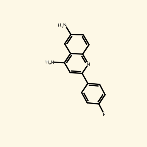 Nc1ccc2nc(-c3ccc(F)cc3)cc(N)c2c1